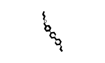 C=CC[C@H]1CC[C@H]([C@H]2CC[C@H](c3ccc(COCC=CC)cc3)CC2)CC1